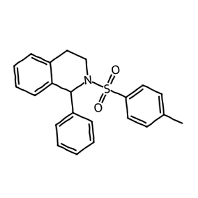 Cc1ccc(S(=O)(=O)N2CCc3ccccc3C2c2ccccc2)cc1